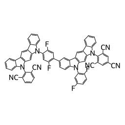 N#Cc1cc(C#N)c(-n2c3ccccc3c3cc4c5cc(-c6cc(F)c(-n7c8ccccc8c8cc9c%10ccccc%10n(-c%10c(C#N)cccc%10C#N)c9cc87)cc6F)ccc5n(-c5cc(F)ccc5F)c4cc32)c(C#N)c1